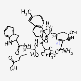 Cc1ccc2c(c1)CCN(C(=O)[C@@H](NC(O)[C@H](CCCC(=O)O)NC(=O)C1Cc3ccccc3N1)C(C)C)[C@@]2(C)C(=O)N[C@H](/C=C(\C#N)C(N)=O)CC(=O)O